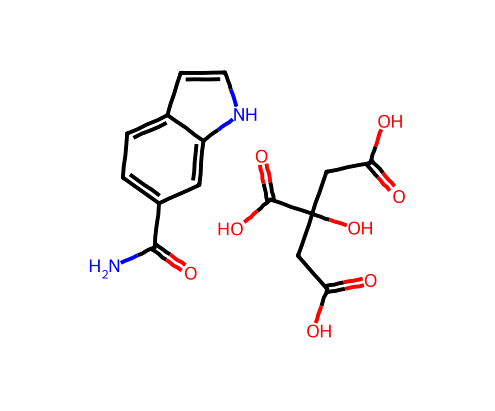 NC(=O)c1ccc2cc[nH]c2c1.O=C(O)CC(O)(CC(=O)O)C(=O)O